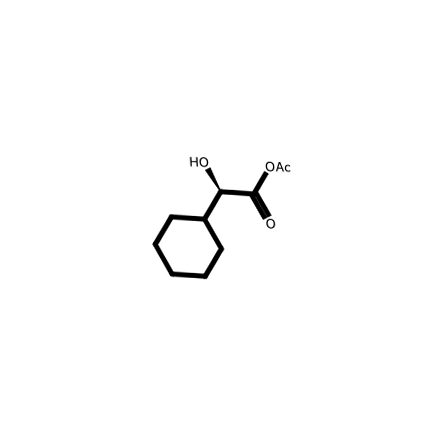 CC(=O)OC(=O)[C@H](O)C1CCCCC1